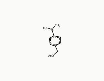 CC(=O)OCc1ccc(N(C)C)cc1